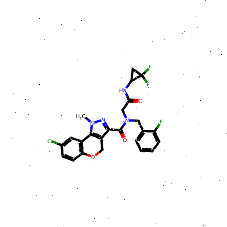 Cn1nc(C(=O)N(CC(=O)NC2CC2(F)F)Cc2ccccc2F)c2c1-c1cc(Cl)ccc1OC2